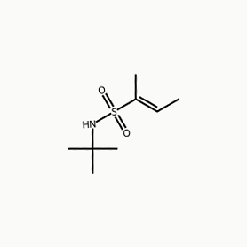 C/C=C(\C)S(=O)(=O)NC(C)(C)C